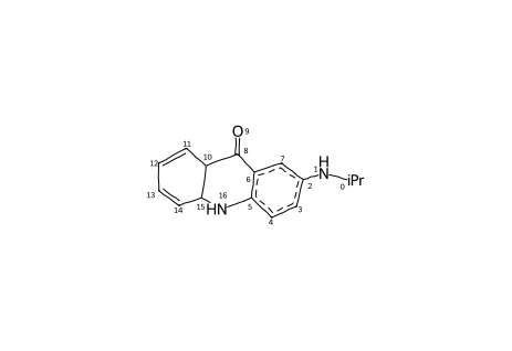 CC(C)Nc1ccc2c(c1)C(=O)C1C=CC=CC1N2